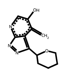 C=c1c(O)cnc2c1=C(C1CCCCO1)N=N2